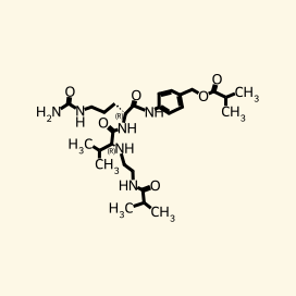 CC(C)C(=O)NCCN[C@@H](C(=O)N[C@H](CCCNC(N)=O)C(=O)Nc1ccc(COC(=O)C(C)C)cc1)C(C)C